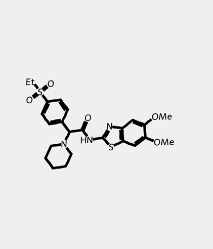 CCS(=O)(=O)c1ccc(C(C(=O)Nc2nc3cc(OC)c(OC)cc3s2)N2CCCCC2)cc1